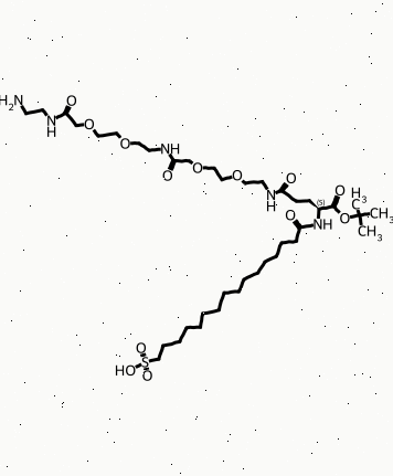 CC(C)(C)OC(=O)[C@H](CCC(=O)NCCOCCOCC(=O)NCCOCCOCC(=O)NCCN)NC(=O)CCCCCCCCCCCCCCCS(=O)(=O)O